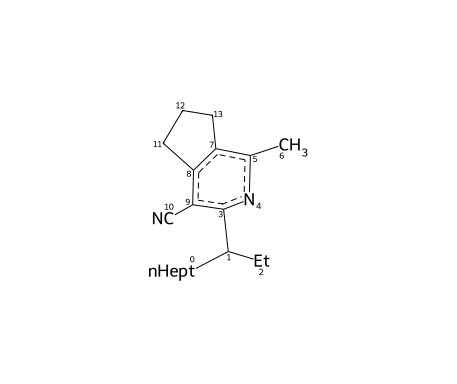 CCCCCCCC(CC)c1nc(C)c2c(c1C#N)CCC2